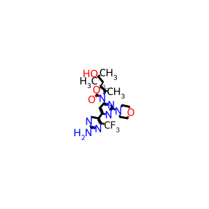 C[C@H]1[C@H](CC(C)(C)O)OC(=O)N1c1cc(-c2cnc(N)nc2C(F)(F)F)nc(N2CCOCC2)n1